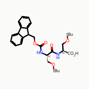 CC(C)(C)OC[C@H](NC(=O)[C@H](COC(C)(C)C)NC(=O)OCC1c2ccccc2-c2ccccc21)C(=O)O